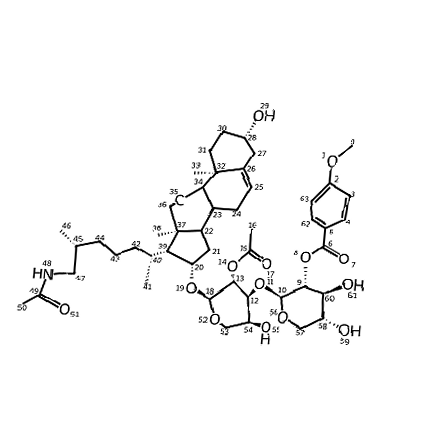 COc1ccc(C(=O)O[C@H]2[C@H](O[C@@H]3[C@@H](OC(C)=O)[C@H](O[C@H]4CC5C6CC=C7C[C@@H](O)CC[C@]7(C)C6CC[C@]5(C)[C@H]4[C@H](C)CCC[C@@H](C)CNC(C)=O)OC[C@@H]3O)OC[C@@H](O)[C@@H]2O)cc1